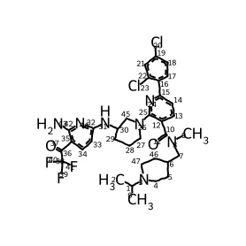 CC(C)N1CCC(CN(C)C(=O)c2ccc(-c3ccc(Cl)cc3Cl)nc2N2CCCC(Nc3ccc(C(=O)C(F)(F)F)c(N)n3)C2)CC1